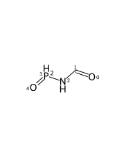 O=[C]N[PH2]=O